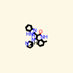 Cc1cccc2c(N[C@@H]3CN4CCC3CC4)c(-c3nc4ccccc4[nH]3)c(=O)[nH]c12